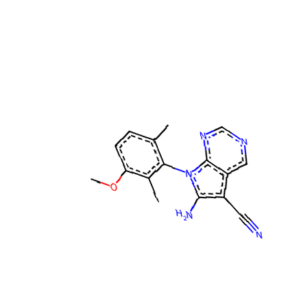 COc1ccc(C)c(-n2c(N)c(C#N)c3cncnc32)c1C